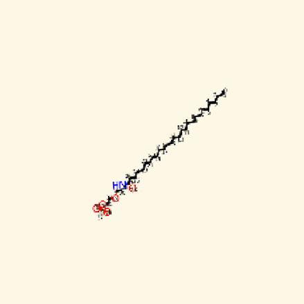 CCCCCCCCCCCCCCCCCCCCCCCCCCCC(=O)NCCOCCOS(C)(=O)=O